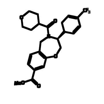 COC(=O)c1ccc2c(c1)OC[C@H](C1C=CC(C(F)(F)F)=CC1)N(C(=O)C1CCOCC1)C2